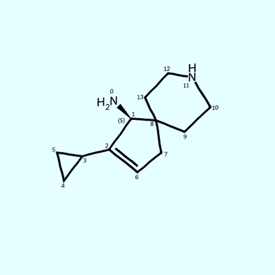 N[C@@H]1C(C2CC2)=CCC12CCNCC2